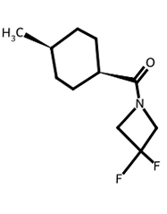 C[C@H]1CC[C@@H](C(=O)N2CC(F)(F)C2)CC1